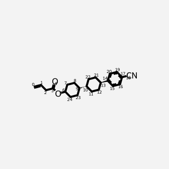 C=CCC(=O)OC1CCC([C@H]2CC[C@H](c3ccc(C#N)cc3)CC2)CC1